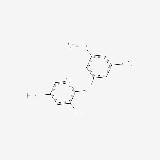 COc1cc(C#N)cc(Oc2ncc(C(F)(F)F)cc2Cl)c1